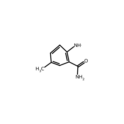 Cc1ccc([NH])c(C(N)=O)c1